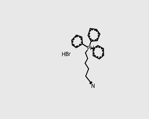 Br.N#CCCCCC[PH](c1ccccc1)(c1ccccc1)c1ccccc1